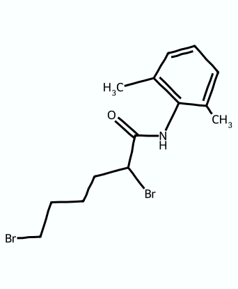 Cc1cccc(C)c1NC(=O)C(Br)CCCCBr